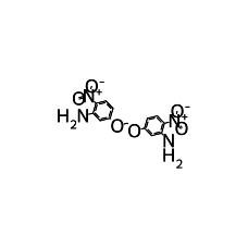 Nc1cc(OCOc2ccc([N+](=O)[O-])c(N)c2)ccc1[N+](=O)[O-]